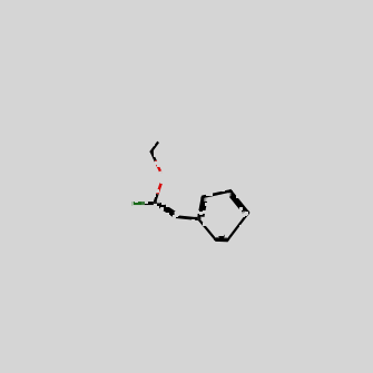 CCO/C(Cl)=C\c1ccccc1